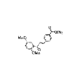 COC(=O)c1ccc(C=CC(=O)c2cc(OC)ccc2OC)cc1